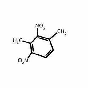 [CH2]c1ccc([N+](=O)[O-])c(C)c1[N+](=O)[O-]